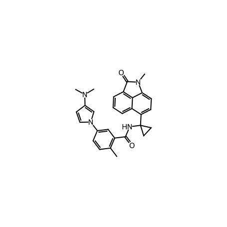 Cc1ccc(-n2ccc(N(C)C)c2)cc1C(=O)NC1(c2ccc3c4c(cccc24)C(=O)N3C)CC1